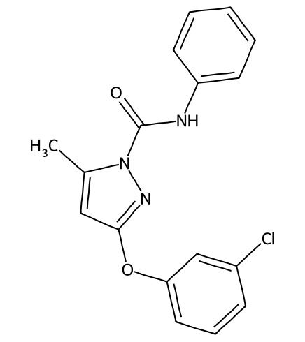 Cc1cc(Oc2cccc(Cl)c2)nn1C(=O)Nc1ccccc1